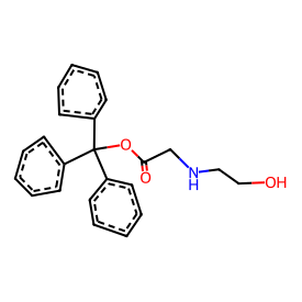 O=C(CNCCO)OC(c1ccccc1)(c1ccccc1)c1ccccc1